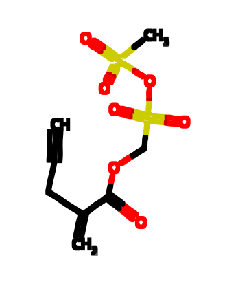 C#CCC(=C)C(=O)OCS(=O)(=O)OS(C)(=O)=O